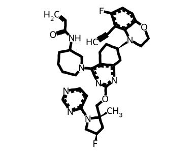 C#Cc1c(F)ccc2c1N([C@@H]1CCc3c(nc(OC[C@]4(C)C[C@@H](F)CN4c4ccncn4)nc3N3CCCCC(NC(=O)C=C)C3)C1)CCO2